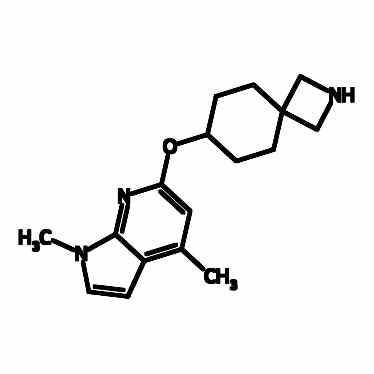 Cc1cc(OC2CCC3(CC2)CNC3)nc2c1ccn2C